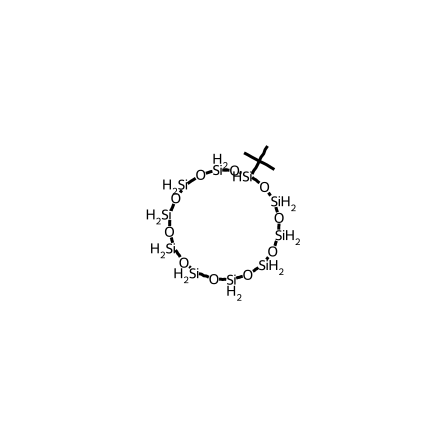 CC(C)(C)[SiH]1O[SiH2]O[SiH2]O[SiH2]O[SiH2]O[SiH2]O[SiH2]O[SiH2]O[SiH2]O[SiH2]O1